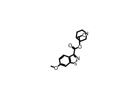 COc1ccc2c(C(=O)OC3CN4CCC3CC4)nsc2c1